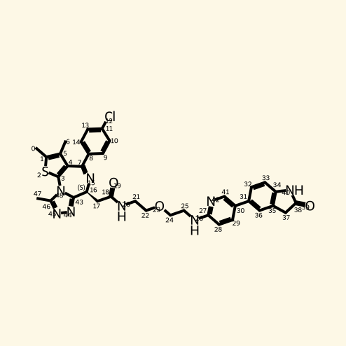 Cc1sc2c(c1C)C(c1ccc(Cl)cc1)=N[C@@H](CC(=O)NCCOCCNc1ccc(-c3ccc4c(c3)CC(=O)N4)cn1)c1nnc(C)n1-2